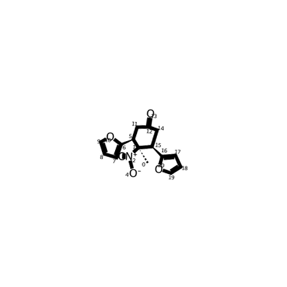 C[C@]1([N+](=O)[O-])[C@@H](c2ccco2)CC(=O)C[C@H]1c1ccco1